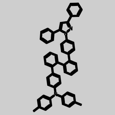 Cc1ccc(N(c2ccc(C)cc2)c2ccc(-c3ccccc3-c3ccccc3-c3ccc(-n4nc(-c5ccccc5)cc4-c4ccccc4)cc3)cc2)cc1